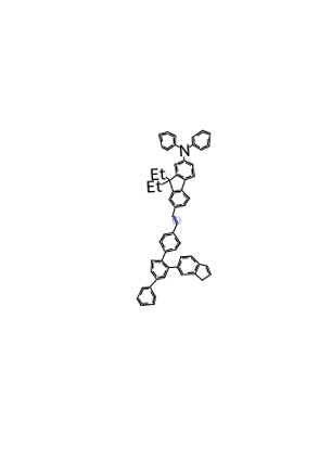 CCC1(CC)c2cc(/C=C/c3ccc(-c4ccc(-c5ccccc5)cc4-c4ccc5c(c4)CC=C5)cc3)ccc2-c2ccc(N(c3ccccc3)c3ccccc3)cc21